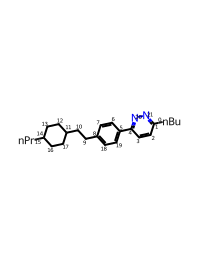 CCCCc1ccc(-c2ccc(CCC3CCC(CCC)CC3)cc2)nn1